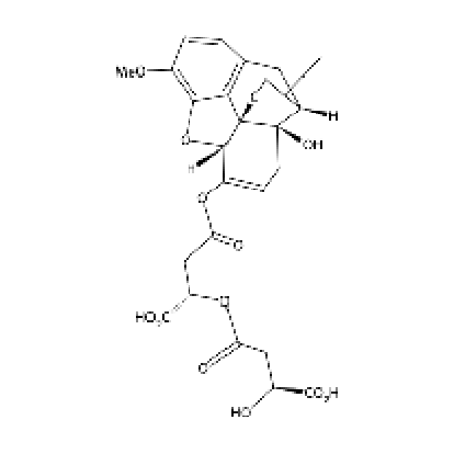 COc1ccc2c3c1O[C@H]1C(OC(=O)C[C@H](OC(=O)C[C@H](O)C(=O)O)C(=O)O)=CC[C@@]4(O)[C@@H](C2)C(C)CC[C@]314